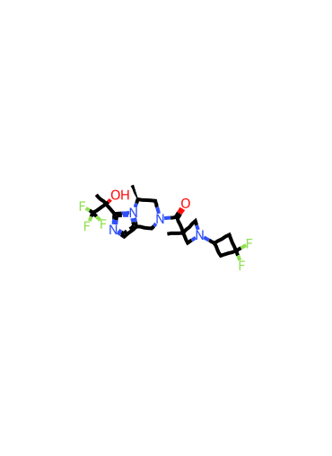 C[C@H]1CN(C(=O)C2(C)CN(C3CC(F)(F)C3)C2)Cc2cnc(C(C)(O)C(F)(F)F)n21